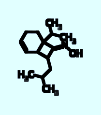 CC(C)CC1C(=NO)C2(C(C)C)CCC=CC12